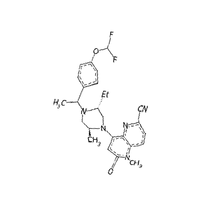 CC[C@@H]1CN(c2cc(=O)n(C)c3ccc(C#N)nc23)[C@@H](C)CN1C(C)c1ccc(OC(F)F)cc1